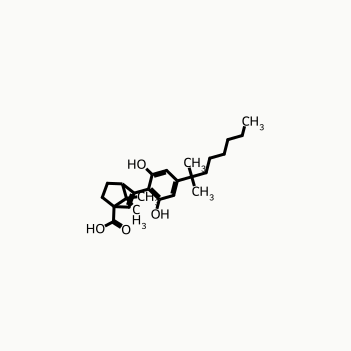 CCCCCCC(C)(C)c1cc(O)c(C2=CC3(C(=O)O)CCC2C3(C)C)c(O)c1